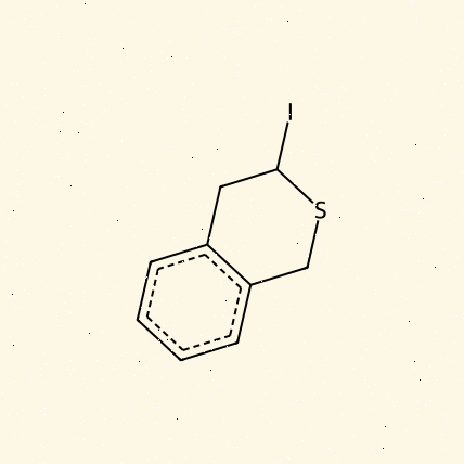 IC1Cc2ccccc2CS1